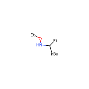 CCCCC(CC)NOCC